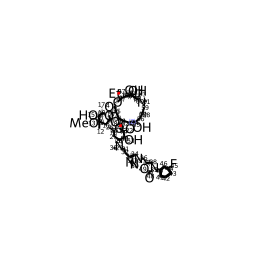 CC[C@H]1OC(=O)[C@H](C)[C@@H](O[C@H]2C[C@@](C)(OC)[C@@H](O)[C@H](C)O2)[C@H](C)/C(O[C@@H]2O[C@H](C)C[C@H](N(C)CCc3cn(C[C@H]4CN(c5cccc(F)c5)C(=O)O4)nn3)[C@H]2O)=C(/O)C[C@@H](C)CN(C)[C@H](C)[C@@H](O)[C@]1(C)O